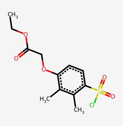 CCOC(=O)COc1ccc(S(=O)(=O)Cl)c(C)c1C